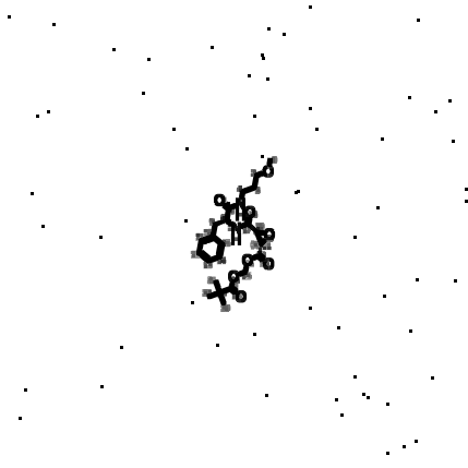 COCCCNC(=O)[C@H](Cc1ccccc1)NC(=O)[C@H]1O[C@@H]1C(=O)OCOC(=O)C(C)(C)C